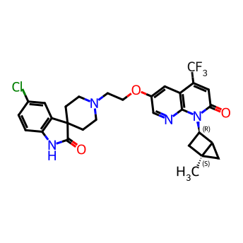 C[C@@]12CC1[C@H](n1c(=O)cc(C(F)(F)F)c3cc(OCCN4CCC5(CC4)C(=O)Nc4ccc(Cl)cc45)cnc31)C2